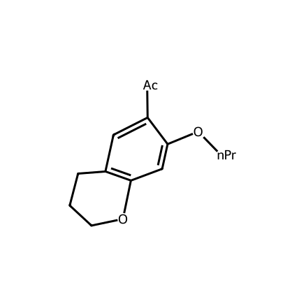 CCCOc1cc2c(cc1C(C)=O)CCCO2